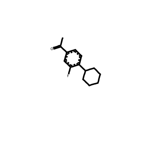 CC(=O)c1ccc(C2CCCCC2)c(F)c1